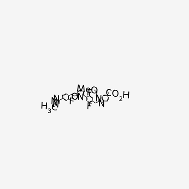 COCCn1c(Cc2cc(F)c(-c3cccc(OCc4ccc(-c5cn(C)nn5)cc4F)n3)cc2F)nc2ccc(C(=O)O)cc21